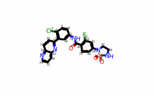 O=C(Nc1ccc(Cl)c(-c2ccc3ncccc3n2)c1)c1ccc(N2CCNS2(=O)=O)cc1F